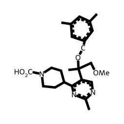 COCC(C)(OCc1cc(C)cc(C)c1)c1cnc(C)nc1C1CCN(C(=O)O)CC1